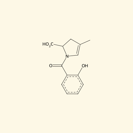 CC1=CN(C(=O)c2ccccc2O)C(C(=O)O)C1